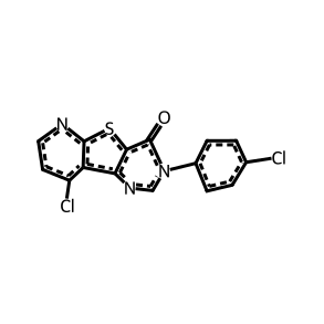 O=c1c2sc3nccc(Cl)c3c2ncn1-c1ccc(Cl)cc1